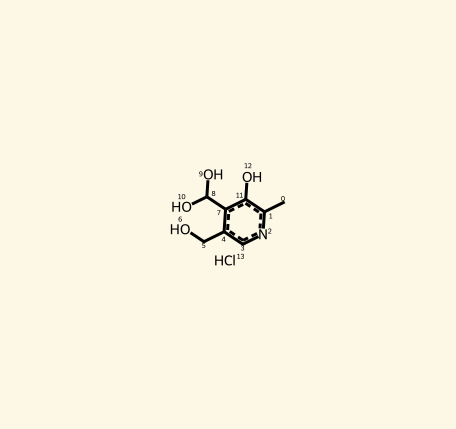 Cc1ncc(CO)c(C(O)O)c1O.Cl